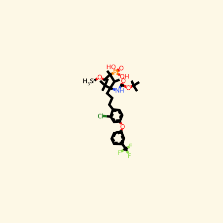 CC(C(CCCc1ccc(Oc2cccc(C(F)(F)F)c2)cc1Cl)(NC(=O)OC(C)(C)C)C(C)(C)C)C(C)(CO[SiH3])P(=O)(O)O